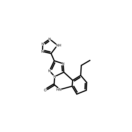 CCc1cccc2[nH]c(=O)n3nc(-c4nnn[nH]4)nc3c12